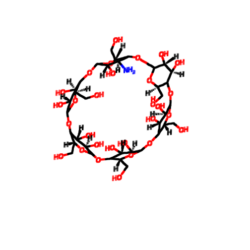 N[C@@H]1C2OC3O[C@H](CO)C(OC4O[C@H](CO)C(OC5O[C@H](CO)C(OC6O[C@H](CO)C(OC7O[C@H](CO)C(OC(O[C@@H]2CO)[C@H]1O)[C@H](O)[C@H]7O)[C@H](O)[C@H]6O)[C@H](O)[C@H]5O)[C@H](O)[C@H]4O)[C@H](O)[C@H]3O